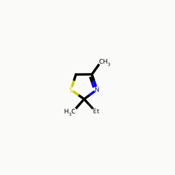 CCC1(C)N=C(C)CS1